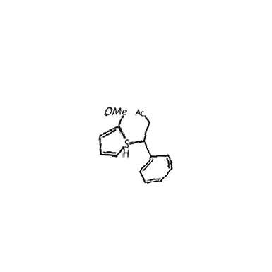 COC1=CC=C[SH]1C(CC(C)=O)c1ccccc1